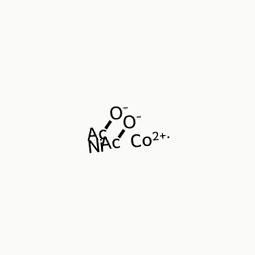 CC(=O)[O-].CC(=O)[O-].[Co+2].[Ni]